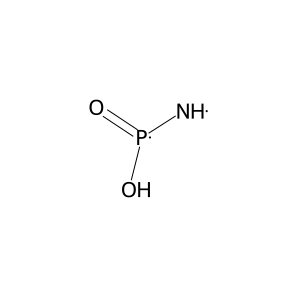 [NH][P](=O)O